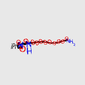 CC(C)C1CC(=O)N(CCC(=O)NCCOCCOCCOCCOCCOCCOCCOCCOCCC(N)=O)C1=O